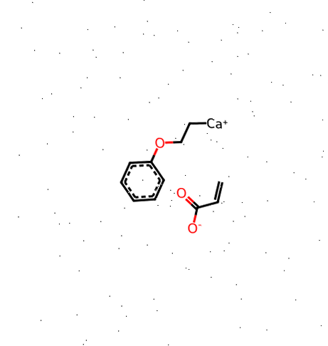 C=CC(=O)[O-].[Ca+][CH2]COc1ccccc1